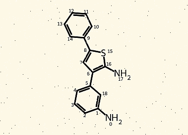 Nc1cccc(-c2cc(-c3ccccc3)sc2N)c1